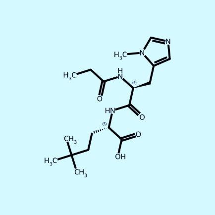 CCC(=O)N[C@@H](Cc1cncn1C)C(=O)N[C@@H](CCC(C)(C)C)C(=O)O